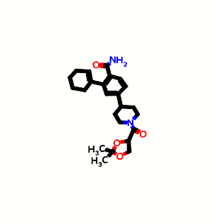 CC1(C)OCC(C(=O)N2CCC(c3ccc(C(N)=O)c(C4=CCCCC4)c3)CC2)O1